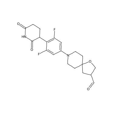 O=CC1COC2(CCN(c3cc(F)c(C4CCC(=O)NC4=O)c(F)c3)CC2)C1